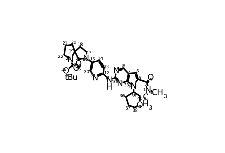 CN(C)C(=O)c1cc2cnc(Nc3ccc(N4CCC5(CCCN5C(=O)OC(C)(C)C)C4=O)cn3)nc2n1C1CCCOC1